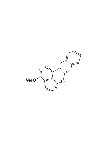 COC(=O)c1cccc2oc3cc4ccccc4cc3c(=O)c12